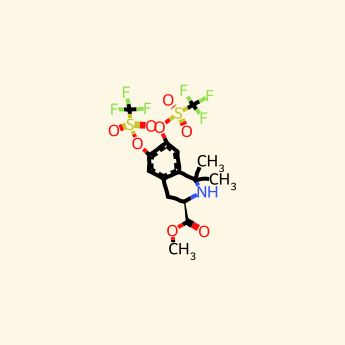 COC(=O)[C@H]1Cc2cc(OS(=O)(=O)C(F)(F)F)c(OS(=O)(=O)C(F)(F)F)cc2C(C)(C)N1